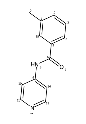 Cc1cccc(C(=O)Nc2ccncc2)c1